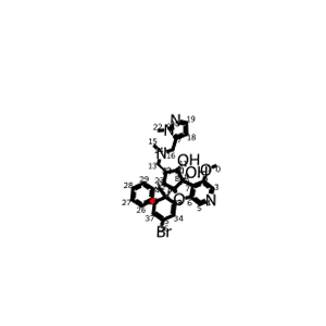 COc1cncc2c1[C@]1(O)[C@H](O)[C@H](CN(C)Cc3ccnn3C)[C@@H](c3ccccc3)[C@]1(C1(C)C=CC(Br)=CC1)O2